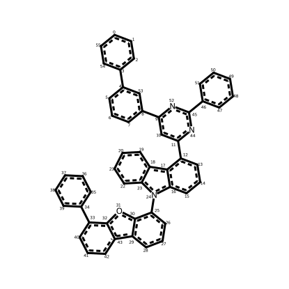 c1ccc(-c2cccc(-c3cc(-c4cccc5c4c4ccccc4n5-c4cccc5c4oc4c(-c6ccccc6)cccc45)nc(-c4ccccc4)n3)c2)cc1